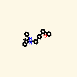 CC1(C)c2ccccc2-c2nc(-c3cccc(-c4ccc(-c5cccc6c5oc5ccccc56)cc4)c3)nc(-c3ccccc3)c21